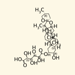 C[C@@H]1CC[C@]2(OC1)O[C@H]1C[C@H]3[C@@H]4CC[C@H]5C[C@@H](O)[C@H](OC(=O)[C@H](O)[C@@H](O)[C@H](O)[C@H](O)C(=O)O)C[C@]5(C)[C@H]4CC[C@]3(C)[C@H]1[C@@H]2C